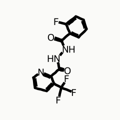 O=C(NNC(=O)c1ncccc1C(F)(F)F)c1ccccc1F